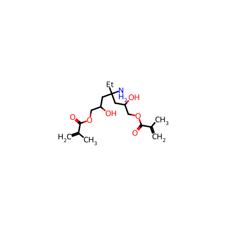 C=C(C)C(=O)OCC(O)CC(N)(CC)CC(O)COC(=O)C(=C)C